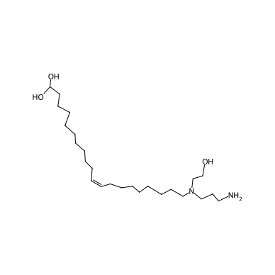 NCCCN(CCO)CCCCCCCC/C=C\CCCCCCCCCC(O)O